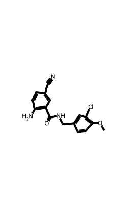 COc1ccc(CNC(=O)c2cc(C#N)ccc2N)cc1Cl